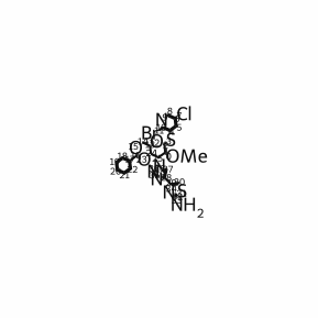 COC1C(Sc2cc(Cl)cnc2Br)OC2COC(c3ccccc3)OC2C1n1cc(-c2csc(N)n2)nn1